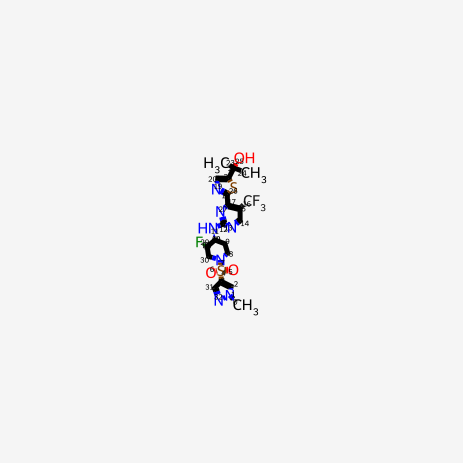 Cn1cc(S(=O)(=O)N2CC[C@@H](Nc3ncc(C(F)(F)F)c(-c4ncc(C(C)(C)O)s4)n3)[C@H](F)C2)cn1